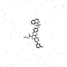 CN(C(=O)OC(C)(C)C)[C@@H](Cc1ccc(OS(=O)(=O)c2nccc3ccccc23)cc1)C(=O)N1CCN(c2cccc(Cl)c2)CC1